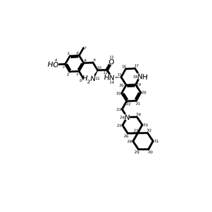 Cc1cc(O)cc(C)c1C[C@H](N)C(=O)N[C@@H]1CCNc2ccc(CN3CCC4(CCCCC4)CC3)cc21